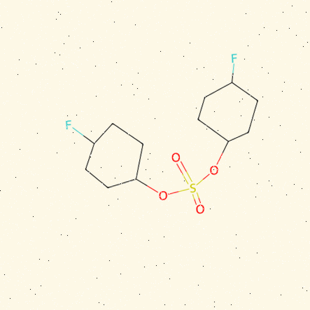 O=S(=O)(OC1CCC(F)CC1)OC1CCC(F)CC1